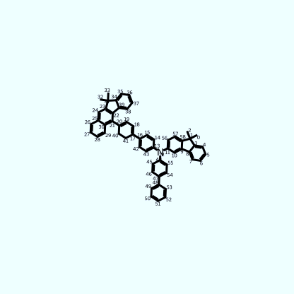 CC1(C)c2ccccc2-c2cc(N(c3ccc(C4=CC=C(c5c6c(cc7ccccc57)C(C)(C)c5ccccc5-6)CC4)cc3)c3ccc(-c4ccccc4)cc3)ccc21